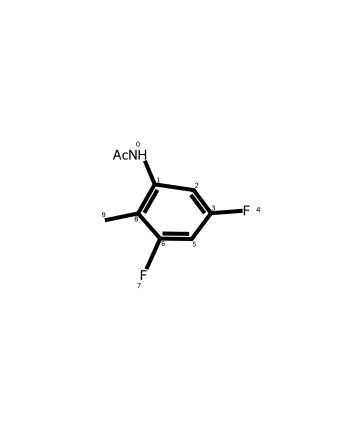 CC(=O)Nc1cc(F)cc(F)c1C